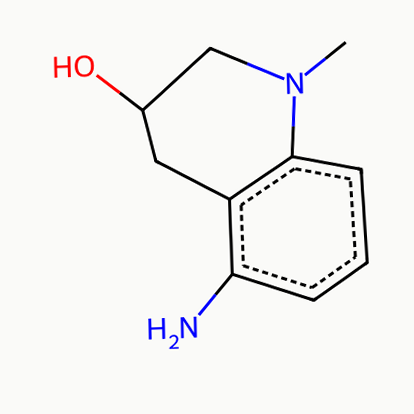 CN1CC(O)Cc2c(N)cccc21